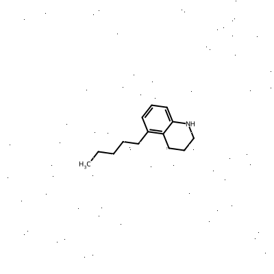 CCCCCc1cccc2c1[C]CCN2